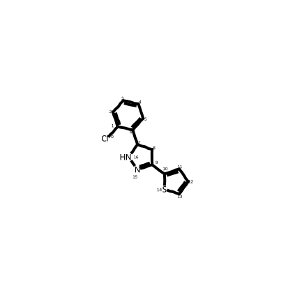 Clc1ccccc1C1CC(c2cccs2)=NN1